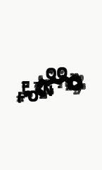 O=C(CC(=O)c1ccc(OC(F)F)cn1)c1ccccc1